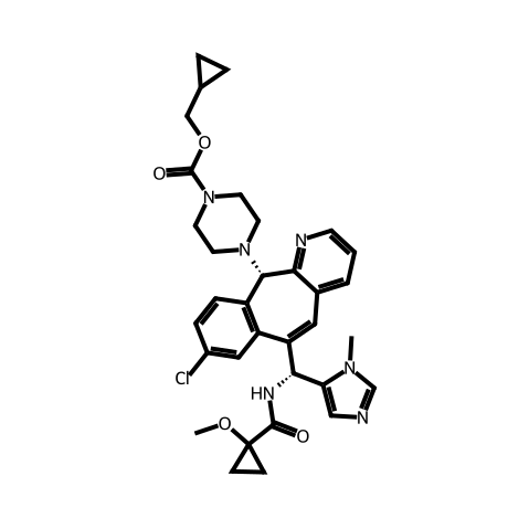 COC1(C(=O)N[C@H](C2=Cc3cccnc3[C@@H](N3CCN(C(=O)OCC4CC4)CC3)c3ccc(Cl)cc32)c2cncn2C)CC1